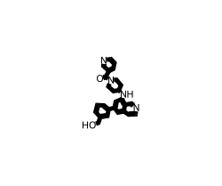 O=C(c1cccnc1)N1CCC(Nc2cc(-c3cccc(CO)c3)cc3ccncc23)CC1